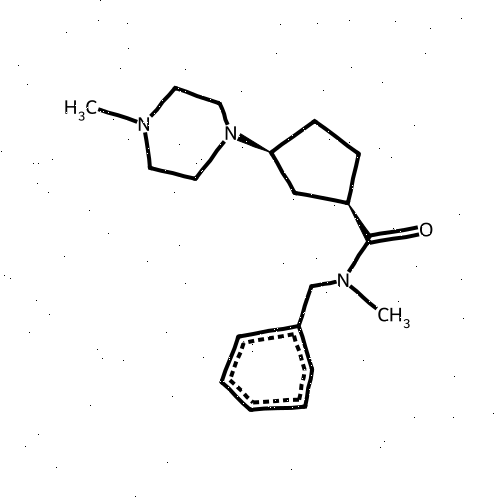 CN1CCN([C@H]2CC[C@@H](C(=O)N(C)Cc3ccccc3)C2)CC1